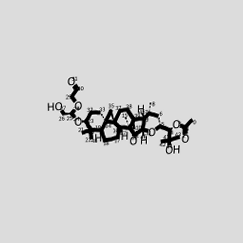 CC(=O)O[C@@H]([C@H]1C[C@@H](C)[C@@H]2[C@H](O1)C(=O)[C@@]1(C)[C@@H]3CC[C@H]4C(C)(C)[C@@H](O[C@@H](CO)OCC=O)CC[C@@]45C[C@@]35CC[C@]21C)C(C)(C)O